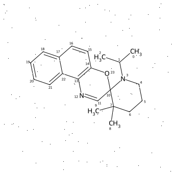 CC(C)N1CCCC(C)(C)C12C=Nc1c(ccc3ccccc13)O2